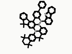 CC1(C)CCC(C)(C)c2cc3c(cc21)N1c2cc4c(c5c2B(c2cccc(c21)C3(C)C)N(c1cccc2c1sc1ccccc12)c1cc(-c2ccccc2)ccc1-5)-c1ccccc1C4(C)C